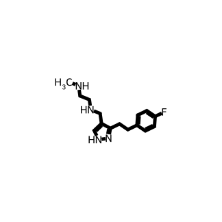 CNCCNCc1c[nH]nc1CCc1ccc(F)cc1